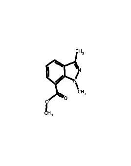 COC(=O)c1cccc2c(C)nn(C)c12